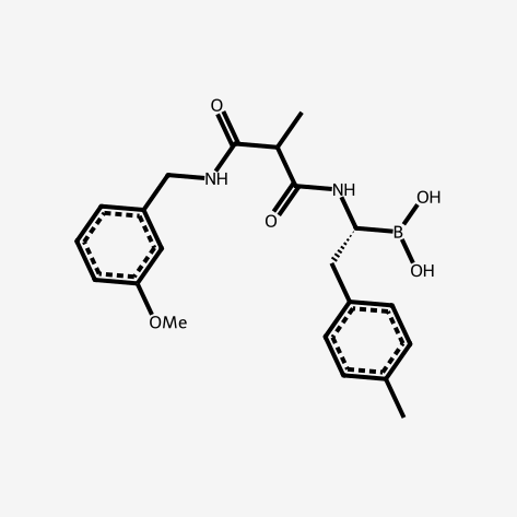 COc1cccc(CNC(=O)C(C)C(=O)N[C@@H](Cc2ccc(C)cc2)B(O)O)c1